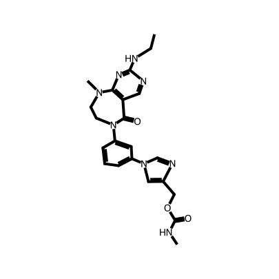 CCNc1ncc2c(n1)N(C)CCN(c1cccc(-n3cnc(COC(=O)NC)c3)c1)C2=O